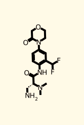 CN(C)[C@H](CN)C(=O)Nc1ccc(N2CCOCC2=O)cc1C(F)F